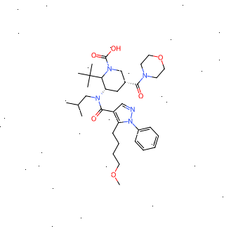 COCCCCc1c(C(=O)N(CC(C)C)[C@H]2C[C@@H](C(=O)N3CCOCC3)CN(C(=O)O)C2C(C)(C)C)cnn1-c1ccccc1